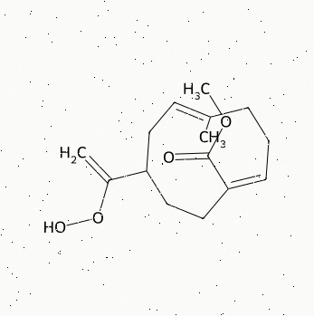 C=C(OO)C1C/C=C(\C)CC/C=C(\C(=O)OC)CC1